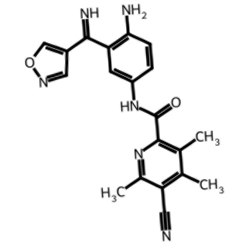 Cc1nc(C(=O)Nc2ccc(N)c(C(=N)c3cnoc3)c2)c(C)c(C)c1C#N